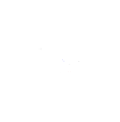 CC1CCN(C(=O)C(C)(C)C)C(C(F)(F)F)C1